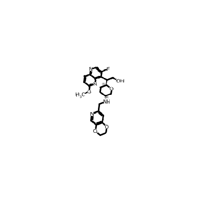 COc1ccc2ncc(F)c(C(CO)[C@@H]3CC[C@@H](NCc4cc5c(cn4)OCCO5)CO3)c2n1